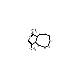 CC1=CN=C(C)C2CCCCCCCC12